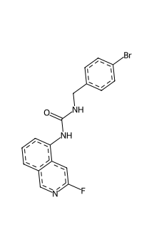 O=C(NCc1ccc(Br)cc1)Nc1cccc2cnc(F)cc12